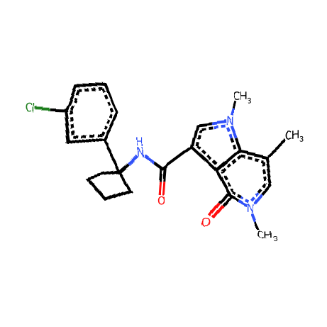 Cc1cn(C)c(=O)c2c(C(=O)NC3(c4cccc(Cl)c4)CCC3)cn(C)c12